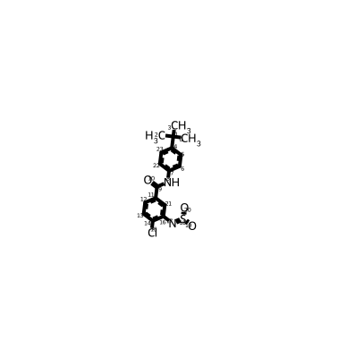 CC(C)(C)c1ccc(NC(=O)c2ccc(Cl)c(N=S(=O)=O)c2)cc1